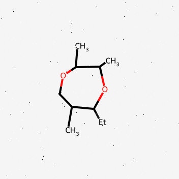 CCC1OC(C)C(C)OCC1C